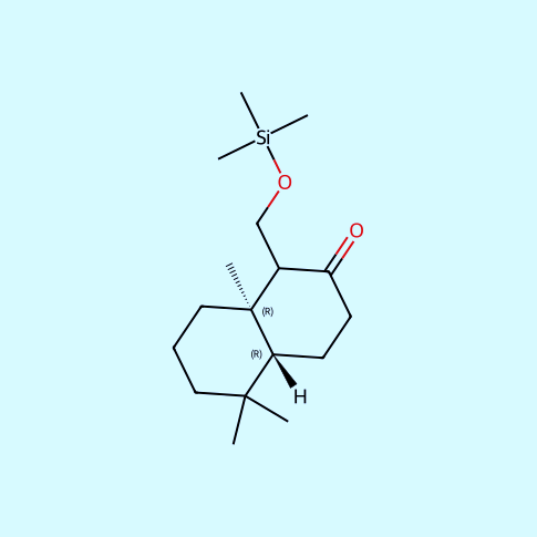 CC1(C)CCC[C@@]2(C)C(CO[Si](C)(C)C)C(=O)CC[C@H]12